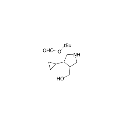 CC(C)(C)OC=O.OCC1CNCC1C1CC1